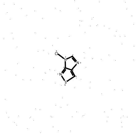 Cln1cnc2csnc21